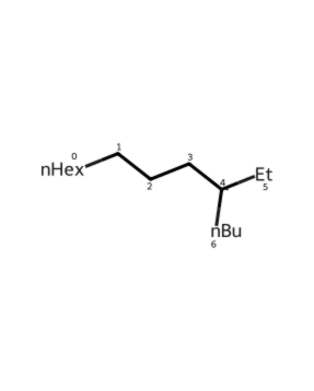 CCCCCCCCC[C](CC)CCCC